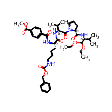 CCOC(OCC)[C@@H](NC(=O)[C@@H]1CCCN1C(=O)[C@@H](NC(=O)[C@H](CCCCNC(=O)OCc1ccccc1)NC(=O)c1ccc(C(=O)OC)cc1)C(C)C)C(C)C